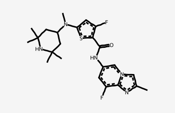 Cc1cn2cc(NC(=O)c3sc(N(C)C4CC(C)(C)NC(C)(C)C4)cc3F)cc(F)c2n1